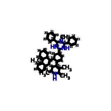 CC1=C(C2=CC=C(C3NC(C4C=CC=CC4)N(C)C(C4C=CC=CC4)N3)CC2C2=Cc3ccccc3C3(C)CCC=CC23)CC(C)NC1C